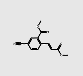 COC(=O)C=Cc1ccc(C#N)cc1C(=O)OC